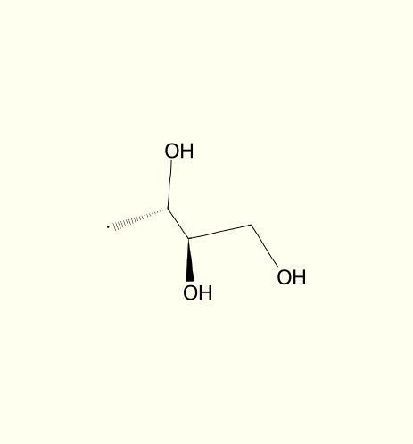 [CH2][C@H](O)[C@H](O)CO